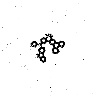 CC1(C)c2ccccc2-c2ccc(N(c3ccccc3)c3ccc4c(c3)-c3cc5c6ccccc6c6ccccc6c5cc3C(C)(C)C4(C)C)cc21